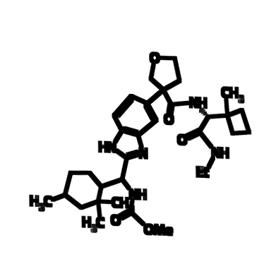 CCNC(=O)[C@H](NC(=O)C1(c2ccc3[nH]c(C(NC(=O)OC)C4CCC(C)CC4(C)C)nc3c2)CCOC1)C1(C)CCC1